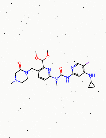 COC(OC)c1nc(N(C)C(=O)Nc2cc(NC3CC3)c(I)cn2)ccc1CN1CCN(C)CC1=O